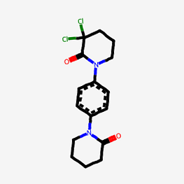 O=C1CCCCN1c1ccc(N2CCCC(Cl)(Cl)C2=O)cc1